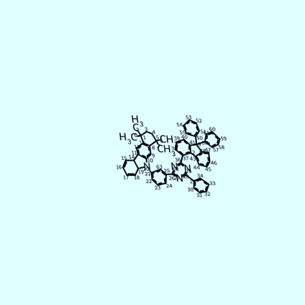 CC1(C)CCC(C)(C)c2cc3c(cc21)C1C=CC=CC1N3c1cccc(-c2nc(-c3ccccc3)nc(-c3cccc4c3-c3ccccc3C4(c3ccccc3)c3ccccc3)n2)c1